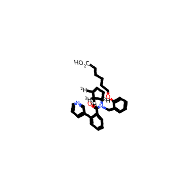 [2H]C1CCC([2H])(N(Cc2ccccc2OCCCCCC(=O)O)C(=O)c2ccccc2-c2cccnc2)C1([2H])[2H]